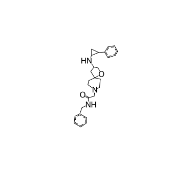 O=C(CN1CCC2(CC1)CC(NC1CC1c1ccccc1)CO2)NCc1ccccc1